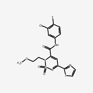 COCCN1C(C(=O)Nc2ccc(F)c(Cl)c2)=CC(c2nccs2)=NS1(=O)=O